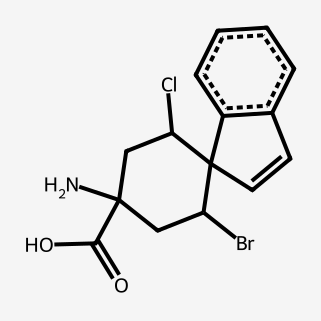 NC1(C(=O)O)CC(Cl)C2(C=Cc3ccccc32)C(Br)C1